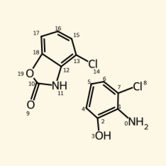 Nc1c(O)cccc1Cl.O=c1[nH]c2c(Cl)cccc2o1